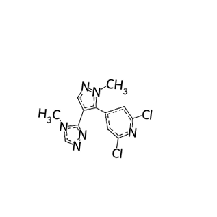 Cn1cnnc1-c1cnn(C)c1-c1cc(Cl)nc(Cl)c1